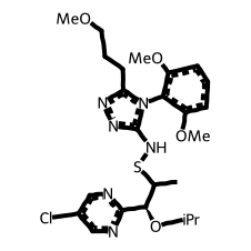 COCCCc1nnc(NSC(C)[C@@H](OC(C)C)c2ncc(Cl)cn2)n1-c1c(OC)cccc1OC